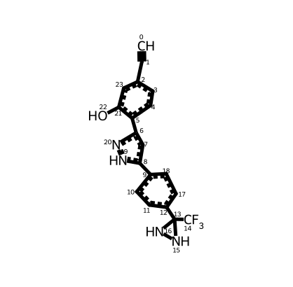 C#Cc1ccc(-c2cc(-c3ccc(C4(C(F)(F)F)NN4)cc3)[nH]n2)c(O)c1